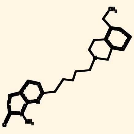 CCc1cccc2c1CCN(CCCCCc1ccc3ccc(=O)n(N)c3n1)C2